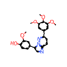 COc1cc(-c2cnc3ccc(-c4cc(OC)c(OC)c(OC)c4)nn23)ccc1O